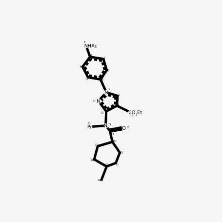 CCOC(=O)c1cn(-c2ccc(NC(C)=O)cc2)nc1N(C(=O)C1CCC(C)CC1)C(C)C